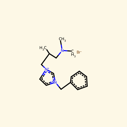 CC(CN(C)C)C[n+]1ccn(Cc2ccccc2)c1.[Br-]